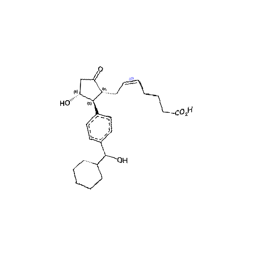 O=C(O)CCC/C=C\C[C@H]1C(=O)C[C@@H](O)[C@@H]1c1ccc(C(O)C2CCCCC2)cc1